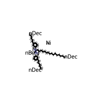 CCCCCCCCCCCCCCCCCCCCCCCCCCC(=N\c1cccc(CCCCCCCCCCCCCCC)c1)/C(CCCC)=N/c1cccc(CCCCCCCCCCCCCCC)c1.[Ni]